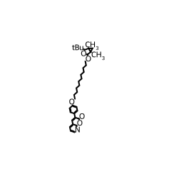 CC(C)(C)CC1(C)CC1(C)C(=O)OCCCCCCCCCCCCOc1ccc(-c2cc3cccnc3oc2=O)cc1